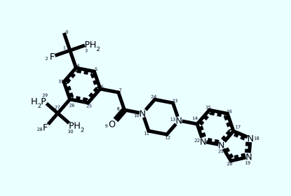 CC(F)(P)c1cc(CC(=O)N2CCN(c3ccc4nncn4n3)CC2)cc(C(F)(P)P)c1